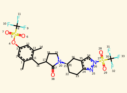 Cc1cc(OS(=O)(=O)C(F)(F)F)cc(C)c1CC1CCN([C@@H]2CCc3nn(S(=O)(=O)C(F)(F)F)cc3C2)C1=O